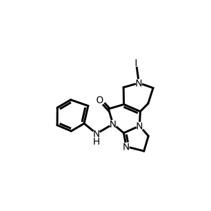 O=C1C2=C(CCN(I)C2)N2CCN=C2N1Nc1ccccc1